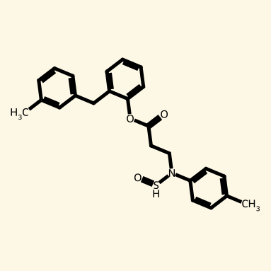 Cc1ccc(N(CCC(=O)Oc2ccccc2Cc2cccc(C)c2)[SH]=O)cc1